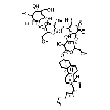 CC(C)CCC[C@@H](C)[C@H]1CC[C@H]2[C@@H]3CC=C4C[C@@H](O[C@@H]5OC(CO)[C@@H](O[C@H]6OC(CO[C@@H]7OC(CO)[C@@H](O[C@H]8OC(CO)[C@@H](O)[C@H](O)C8O)[C@H](O)C7O)[C@@H](O)[C@H](O)C6O)[C@H](O)C5O)CC[C@]4(C)[C@H]3CC[C@]12C